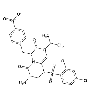 CC(C)N1C=C2N(C(=O)C(N)CN2S(=O)(=O)c2ccc(Cl)cc2Cl)C(Cc2ccc([N+](=O)[O-])cc2)C1=O